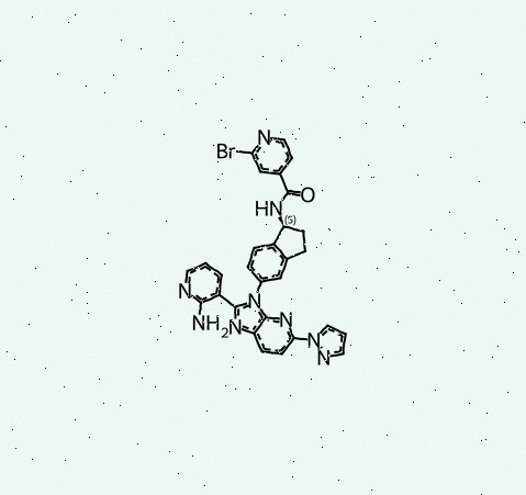 Nc1ncccc1-c1nc2ccc(-n3cccn3)nc2n1-c1ccc2c(c1)CC[C@@H]2NC(=O)c1ccnc(Br)c1